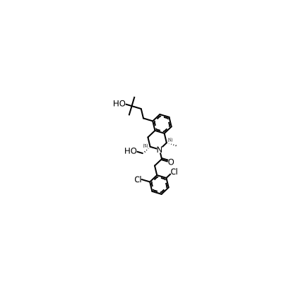 C[C@H]1c2cccc(CCC(C)(C)O)c2C[C@@H](CO)N1C(=O)Cc1c(Cl)cccc1Cl